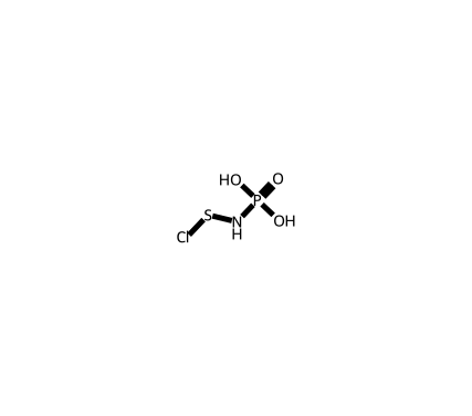 O=P(O)(O)NSCl